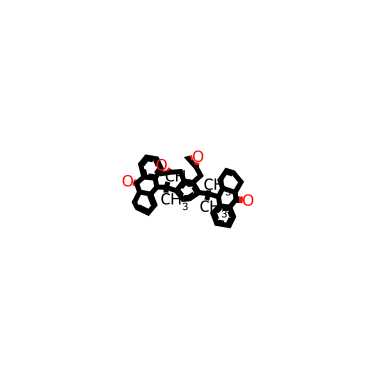 CC(C)(c1ccc(C(C)(C)C2c3ccccc3C(=O)C3CC=CCC32)c(CC2CO2)c1CC1CO1)C1C2=CC=CCC2C(=O)c2ccccc21